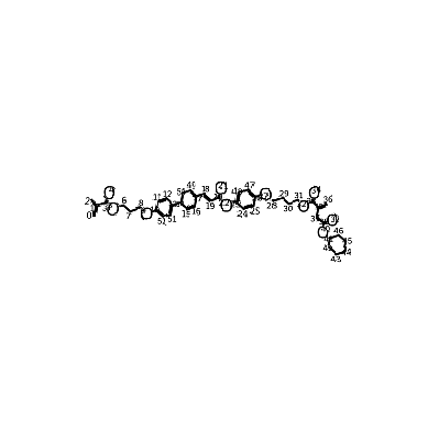 C=C(C)C(=O)OCCCOc1ccc(-c2ccc(/C=C/C(=O)Oc3ccc(OCCCCOC(=O)C(=C)CC(=O)OC4CCCCC4)cc3)cc2)cc1